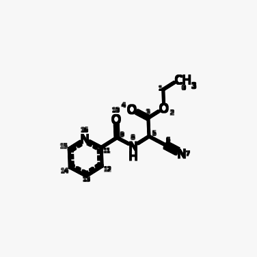 CCOC(=O)C(C#N)NC(=O)c1ccccn1